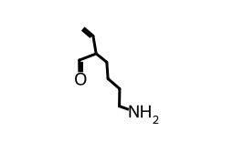 C=CC(C=O)CCCCN